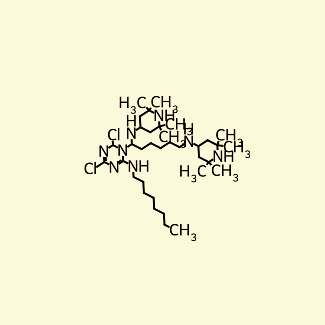 CCCCCCCCNC1=NC(Cl)=NC(Cl)N1C(CCCCCNC1CC(C)(C)NC(C)(C)C1)NC1CC(C)(C)NC(C)(C)C1